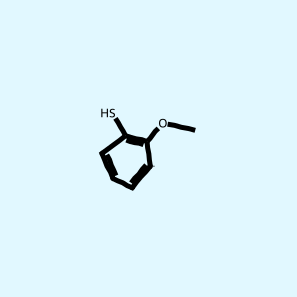 COc1[c]cccc1S